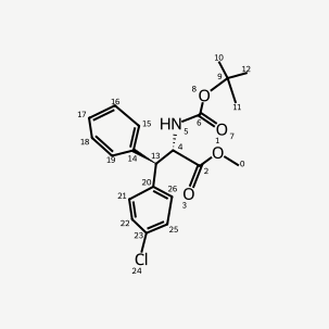 COC(=O)[C@@H](NC(=O)OC(C)(C)C)[C@H](c1ccccc1)c1ccc(Cl)cc1